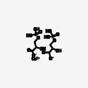 O=C([O-])C(O)COP(=O)(O)O.O=C([O-])C(O)COP(=O)(O)O.[Ca+2]